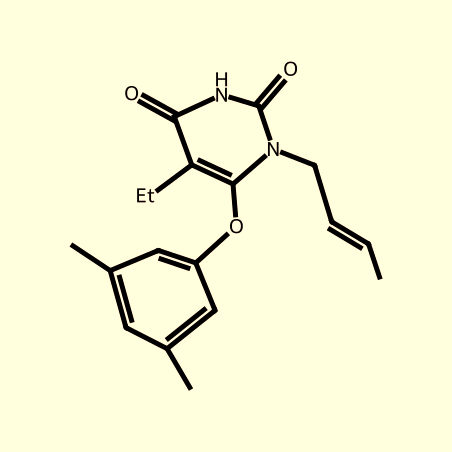 CC=CCn1c(Oc2cc(C)cc(C)c2)c(CC)c(=O)[nH]c1=O